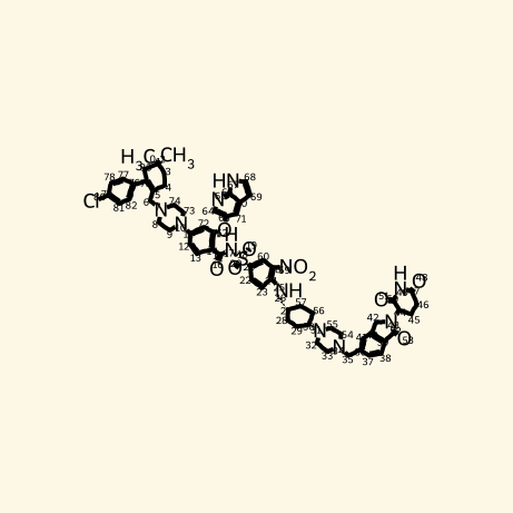 CC1(C)CCC(CN2CCN(c3ccc(C(=O)NS(=O)(=O)c4ccc(NC[C@H]5CC[C@@H](N6CCN(Cc7ccc8c(c7)CN(C7CCC(=O)NC7=O)C8=O)CC6)CC5)c([N+](=O)[O-])c4)c(Oc4cnc5[nH]ccc5c4)c3)CC2)=C(c2ccc(Cl)cc2)C1